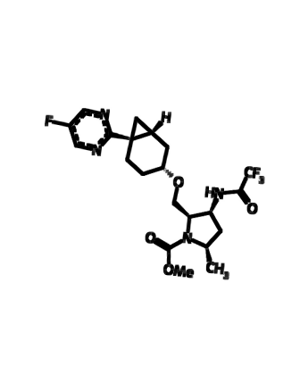 COC(=O)N1[C@H](C)C[C@H](NC(=O)C(F)(F)F)[C@@H]1CO[C@@H]1CC[C@]2(c3ncc(F)cn3)C[C@@H]2C1